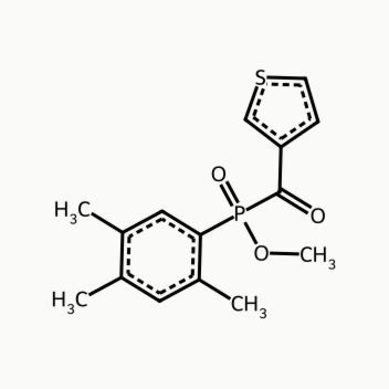 COP(=O)(C(=O)c1ccsc1)c1cc(C)c(C)cc1C